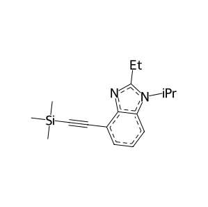 CCc1nc2c(C#C[Si](C)(C)C)cccc2n1C(C)C